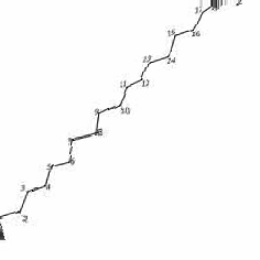 C=CCCCCCCCCCCCCCCCCN